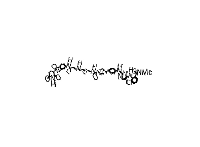 CNC(=O)c1ccccc1Nc1nc(Nc2ccc(N3CCN(C(=O)NCCOCCNCCC(=O)Nc4ccc5c(c4)CN(C4CCC(=O)NC4=O)C5=O)CC3)cc2)ncc1Cl